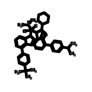 CCC1=Cc2c(-c3ccc(C(C)(C)C)cc3)cccc2[CH]1[Zr]([Cl])([Cl])([CH]1C(C2CCCCC2)=Cc2c(-c3ccc(C(C)C)cc3)cccc21)[SiH](C)C